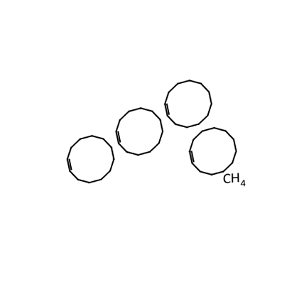 C.C1=CCCCCCCCCCC1.C1=CCCCCCCCCCC1.C1=CCCCCCCCCCC1.C1=CCCCCCCCCCC1